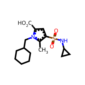 Cc1c(S(=O)(=O)NC2CC2)cc(C(=O)O)n1CC1CCCCC1